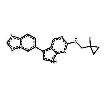 CC1(CNc2ncc3c(-c4ccc5ncnn5c4)c[nH]c3n2)CC1